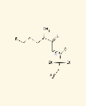 CCC(CC)(CC(F)(F)F)/C(O)=C/C(=O)C(C)CCCF